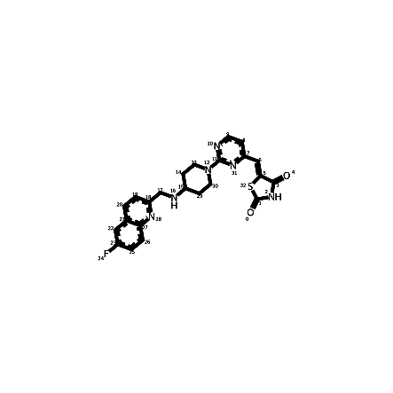 O=C1NC(=O)C(=Cc2ccnc(N3CCC(NCc4ccc5cc(F)ccc5n4)CC3)n2)S1